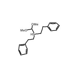 COC(OC)[SiH](CCc1ccccc1)CCc1ccccc1